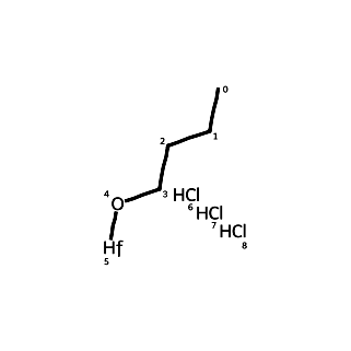 CCCC[O][Hf].Cl.Cl.Cl